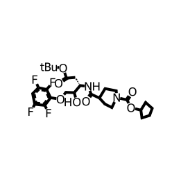 CC(C)(C)OC(=O)C[C@H](NC(=O)C1CCN(C(=O)OC2CCCC2)CC1)C(O)COc1c(F)c(F)cc(F)c1F